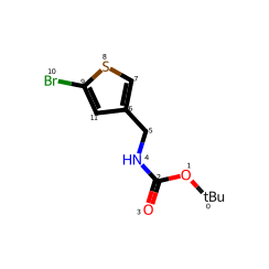 CC(C)(C)OC(=O)NCc1csc(Br)c1